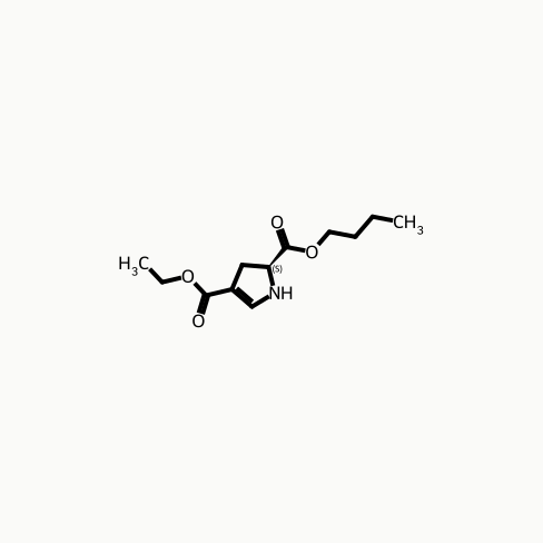 CCCCOC(=O)[C@@H]1CC(C(=O)OCC)=CN1